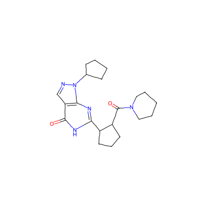 O=C(C1CCCC1c1nc2c(cnn2C2CCCC2)c(=O)[nH]1)N1CCCCC1